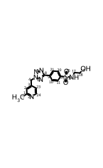 Cc1cc(Cn2nnc(-c3ccc(S(=O)(=O)NCCO)cc3)n2)ccn1